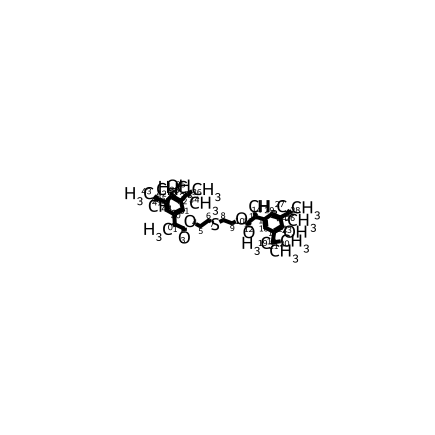 CC(C(=O)OCCSCCOC(=O)C(C)c1cc(C(C)(C)C)c(O)c(C(C)(C)C)c1)c1cc(C(C)(C)C)c(O)c(C(C)(C)C)c1